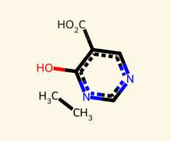 CC.O=C(O)c1cncnc1O